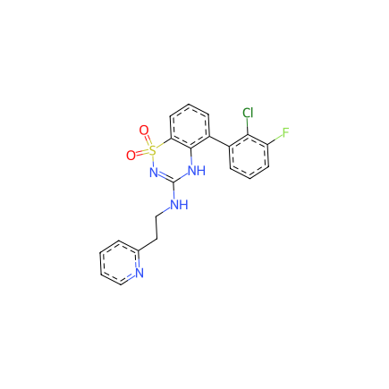 O=S1(=O)N=C(NCCc2ccccn2)Nc2c(-c3cccc(F)c3Cl)cccc21